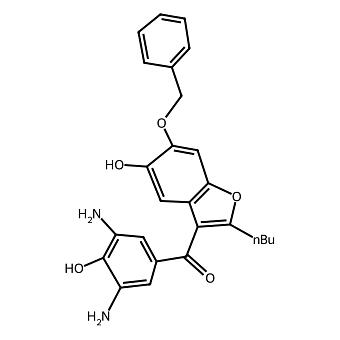 CCCCc1oc2cc(OCc3ccccc3)c(O)cc2c1C(=O)c1cc(N)c(O)c(N)c1